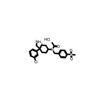 CC(=O)N(Cc1ccc(S(C)(=O)=O)cc1)C1CCC(CN)(c2cccc(Cl)c2)CC1.Cl